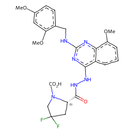 COc1ccc(CNc2nc(NNC(=O)[C@@H]3CC(F)(F)CN3C(=O)O)c3cccc(OC)c3n2)c(OC)c1